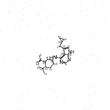 CC(=O)N1C[C@@H](Nc2ncnc3[nH]cc(CC4CC4)c23)CC[C@H]1C(C)C